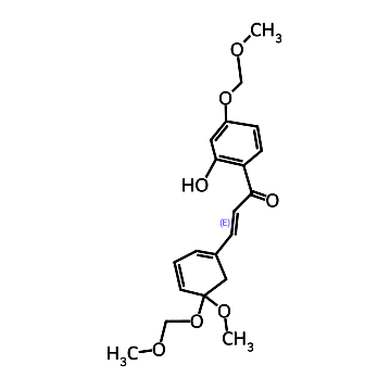 COCOc1ccc(C(=O)/C=C/C2=CC=CC(OC)(OCOC)C2)c(O)c1